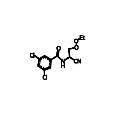 CCOOCC(C#N)NC(=O)c1cc(Cl)cc(Cl)c1